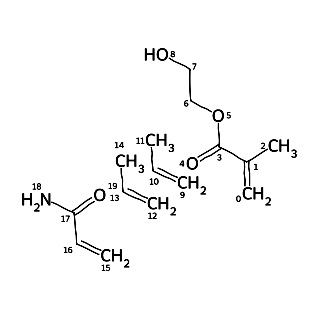 C=C(C)C(=O)OCCO.C=CC.C=CC.C=CC(N)=O